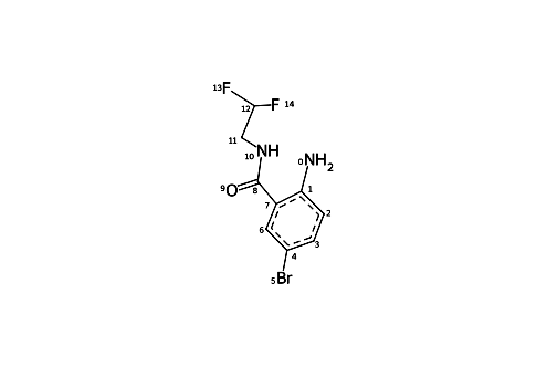 Nc1ccc(Br)cc1C(=O)NCC(F)F